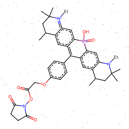 CCN1c2cc3c(cc2C(C)CC1(C)C)C(c1ccc(OCC(=O)ON2C(=O)CCC2=O)cc1)=c1cc2c(cc1P3(=O)O)=[N+](CC)C(C)(C)CC2C